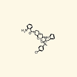 CN(C(=O)[C@H](Cc1ccccc1)NC(=O)CN1CCN(C(=O)c2ccccc2N)CC1=O)c1ccc(Cl)cc1